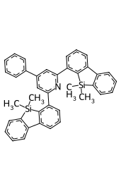 C[Si]1(C)c2ccccc2-c2cccc(-c3cc(-c4ccccc4)cc(-c4cccc5c4[Si](C)(C)c4ccccc4-5)n3)c21